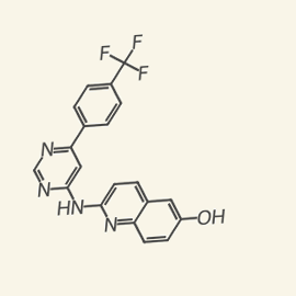 Oc1ccc2nc(Nc3cc(-c4ccc(C(F)(F)F)cc4)ncn3)ccc2c1